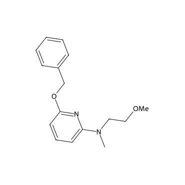 COCCN(C)c1cccc(OCc2ccccc2)n1